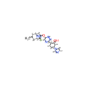 C[C@@H]1CC2C[C@H](Oc3cnc(-c4ccc(-n5ccnc5)cc4O)nn3)[C@@H](F)C(C1)N2